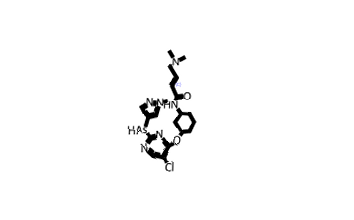 CN(C)C/C=C/C(=O)NC1CCCC(Oc2nc([AsH]c3cnn(C)c3)ncc2Cl)C1